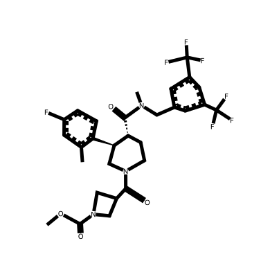 COC(=O)N1CC(C(=O)N2CC[C@@H](C(=O)N(C)Cc3cc(C(F)(F)F)cc(C(F)(F)F)c3)[C@H](c3ccc(F)cc3C)C2)C1